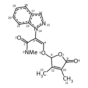 CNC(=O)/C(=C\OC1OC(=O)C(C)=C1C)n1ncc2ccccc21